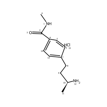 CNC(=O)c1ccc(CC[C@H](C)N)cc1.Cl